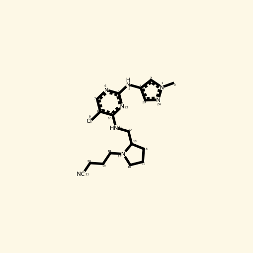 Cn1cc(Nc2ncc(Cl)c(NCC3CCCN3CCCC#N)n2)cn1